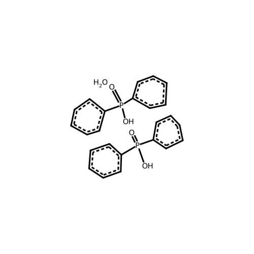 O.O=P(O)(c1ccccc1)c1ccccc1.O=P(O)(c1ccccc1)c1ccccc1